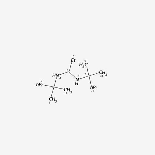 CCCC(C)(C)NC(CC)NC(C)(C)CCC